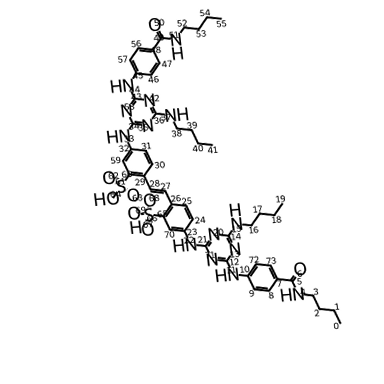 CCCCNC(=O)c1ccc(Nc2nc(NCCCC)nc(Nc3ccc(/C=C/c4ccc(Nc5nc(NCCCC)nc(Nc6ccc(C(=O)NCCCC)cc6)n5)cc4S(=O)(=O)O)c(S(=O)(=O)O)c3)n2)cc1